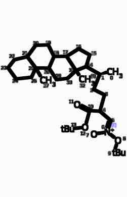 C[C@@H](CCC(/C=[N+](\[O-])OC(C)(C)C)C(=O)OC(C)(C)C)C1CCC2C3CCC4CCCCC4(C)C3CCC21C